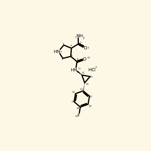 Cl.NC(=O)C1CNCC1C(=O)N[C@H]1C[C@@H]1c1ccc(F)cc1